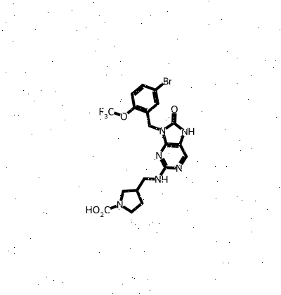 O=C(O)N1CCC(CNc2ncc3[nH]c(=O)n(Cc4cc(Br)ccc4OC(F)(F)F)c3n2)C1